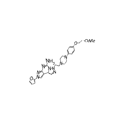 COCCOc1ccc(N2CCN(CCN3N=CC4c5cn(-c6ccco6)nc5N=C(N)N43)CC2)cc1